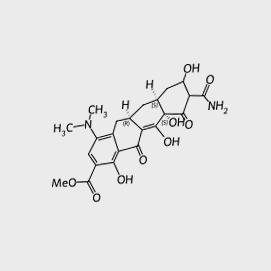 COC(=O)c1cc(N(C)C)c2c(c1O)C(=O)C1=C(O)[C@]3(O)C(=O)C(C(N)=O)C(O)C[C@@H]3C[C@@H]1C2